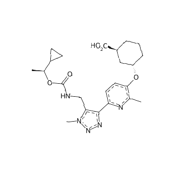 Cc1nc(-c2nnn(C)c2CNC(=O)O[C@@H](C)C2CC2)ccc1O[C@H]1CCC[C@H](C(=O)O)C1